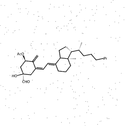 C=C1/C(=C\C=C2CCC[C@@]3(C)C2CC[C@@H]3[C@H](C)CCCC(C)C)C[C@](O)(C=O)C[C@H]1OC(C)=O